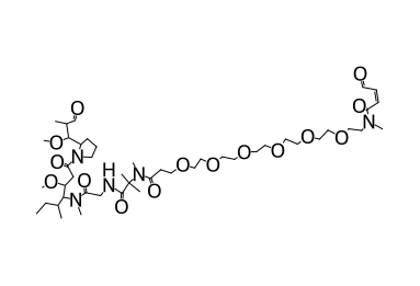 CCC(C)C(C(CC(=O)N1CCCC1C(OC)C(C)C=O)OC)N(C)C(=O)CNC(=O)C(C)(C)N(C)C(=O)CCOCCOCCOCCOCCOCCOCCN(C)C(=O)/C=C\C=O